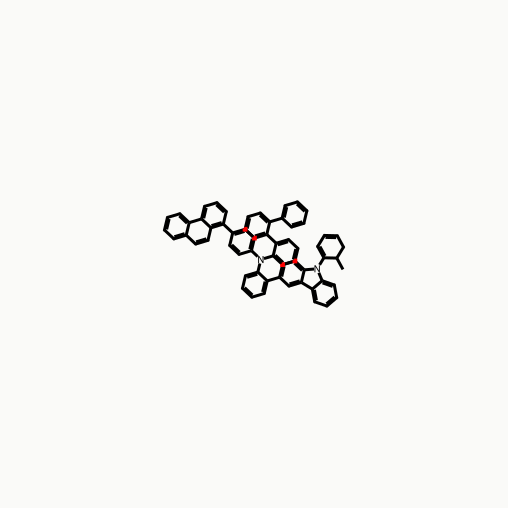 CC1CC=CC=C1n1c2ccccc2c2cc(-c3ccccc3N(c3ccc(-c4cccc5c4ccc4ccccc45)cc3)c3ccccc3-c3ccccc3-c3ccccc3)ccc21